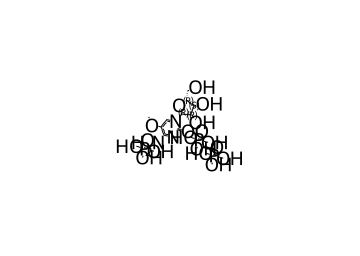 COc1cn([C@@H]2O[C@H](CO)[C@@H](O)[C@H]2O)c(=O)nc1N.O=P(O)(O)O.O=P(O)(O)O.O=P(O)(O)O